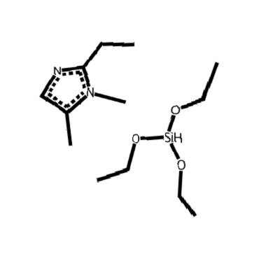 CCO[SiH](OCC)OCC.CCc1ncc(C)n1C